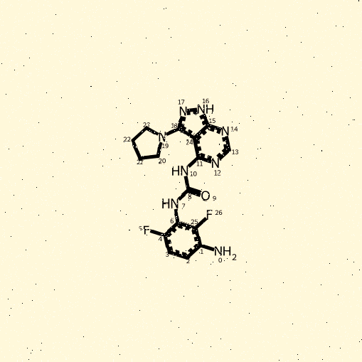 Nc1ccc(F)c(NC(=O)Nc2ncnc3[nH]nc(N4CCCC4)c23)c1F